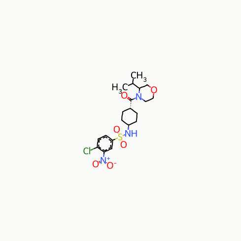 CC(C)C1COCCN1C(=O)[C@H]1CC[C@H](NS(=O)(=O)c2ccc(Cl)c([N+](=O)[O-])c2)CC1